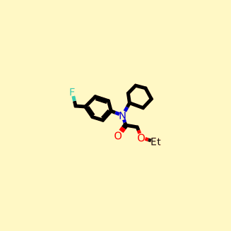 CCOCC(=O)N(c1ccc(CF)cc1)C1CCCCC1